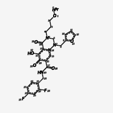 CCCOCCCN1CN(Cc2ccco2)n2cc(C(=O)NCc3ccc(F)cc3F)c(=O)c(O)c2C1=O